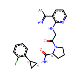 CC(=O)C(=N)c1cccnc1NCC(=O)N1CCC[C@H]1C(=O)N[C@@H]1C[C@H]1c1ccccc1F